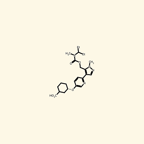 CCC(CC)N(C)C(=O)OCc1c(-c2ccc(O[C@H]3CCCC(C(=O)O)C3)cn2)cnn1C